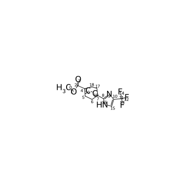 COC(=O)C12CCC(c3nc(C(F)(F)F)c[nH]3)(CC1)CC2